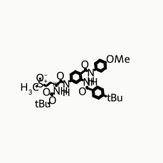 COc1ccc(NC(=O)c2ccc(NC(=O)[C@H](CC[S+](C)[O-])NC(=O)OC(C)(C)C)cc2NC(=O)c2ccc(C(C)(C)C)cc2)cc1